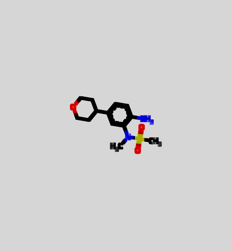 CN(c1cc(C2CCOCC2)ccc1N)S(C)(=O)=O